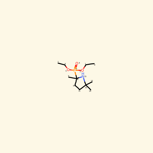 CCOP(=O)(OCC)C1(C)CCC(C)(C)N1